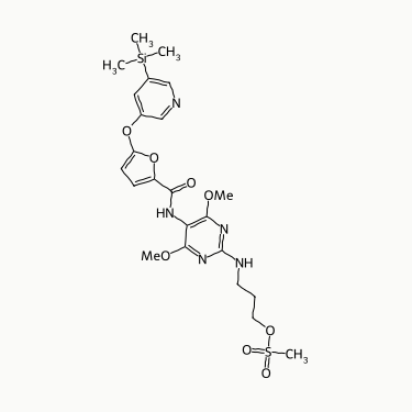 COc1nc(NCCCOS(C)(=O)=O)nc(OC)c1NC(=O)c1ccc(Oc2cncc([Si](C)(C)C)c2)o1